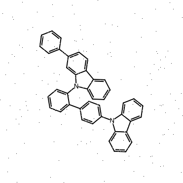 c1ccc(-c2ccc3c4ccccc4n(-c4ccccc4-c4ccc(-n5c6ccccc6c6ccccc65)cc4)c3c2)cc1